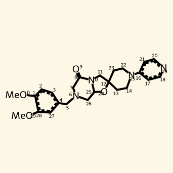 COc1ccc(CN2CC(=O)N3CC4(CCN(c5ccncc5)CC4)OC3C2)cc1OC